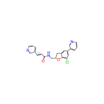 O=C(/C=C/c1cccnc1)NCC1Cc2cc(-c3cccnc3)cc(Cl)c2O1